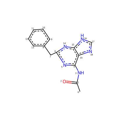 CC(=O)Nc1nc(Cc2ccccc2)nc2[nH]cnc12